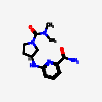 CN(C)C(=O)N1CC[C@H](Nc2cc[c]c(C(N)=O)n2)C1